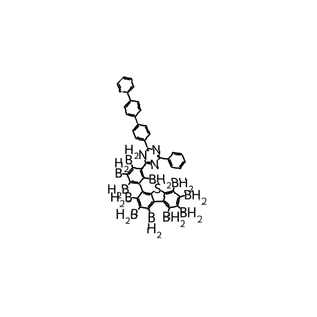 Bc1c(B)c(-c2nc(-c3ccccc3)nc(-c3ccc(-c4ccc(-c5ccccc5)cc4)cc3)n2)c(B)c(-c2c(B)c(B)c(B)c3c2sc2c(B)c(B)c(B)c(B)c23)c1B